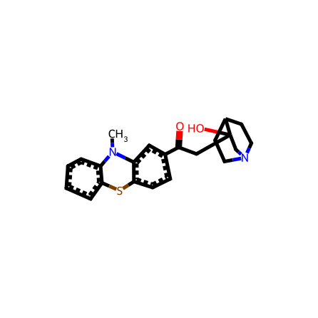 CN1c2ccccc2Sc2ccc(C(=O)CC3(O)CN4CCC3CC4)cc21